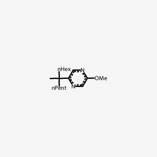 CCCCCCC(C)(CCCCC)c1cnc(OC)cn1